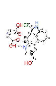 CN1C[C@H](CO)C=C2c3cccc4[nH]c(Cl)c(c34)C[C@H]21.O=C(O)/C=C\C(=O)O